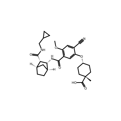 COc1cc(C#N)c(O[C@H]2CC[C@@](C)(C(=O)O)CC2)cc1C(=O)N[C@@H]1[C@H]2CC[C@H](C2)[C@@H]1C(=O)NCC1CC1